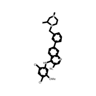 COc1cc(Nc2c(C#N)cnc3cc(-c4cccc(CN5CCN(C)CC5I)c4)ccc23)c(Cl)cc1Cl